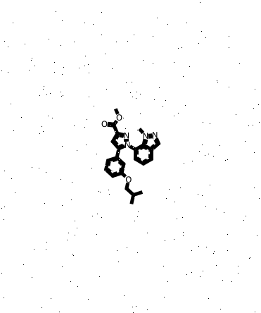 COC(=O)c1cc(-c2cccc(OCC(C)C)c2)n(-c2cccc3cnn(C)c23)n1